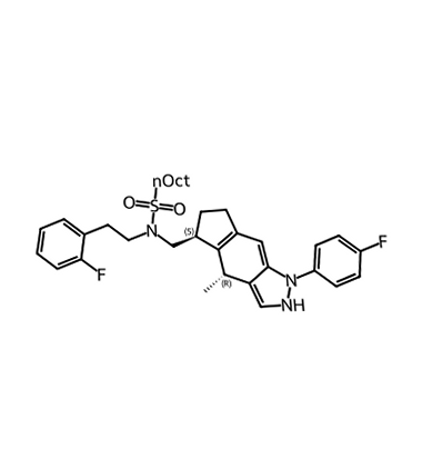 CCCCCCCCS(=O)(=O)N(CCc1ccccc1F)C[C@H]1CCC2=C1[C@@H](C)C1=CNN(c3ccc(F)cc3)C1=C2